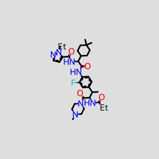 CCC(=O)NC(C(=O)N1CCN(C)CC1)C(C)c1ccc(NC(=O)C(NC(=O)c2ccnn2CC)C2CCC(C)(C)CC2)c(F)c1